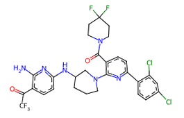 Nc1nc(NC2CCCN(c3nc(-c4ccc(Cl)cc4Cl)ccc3C(=O)N3CCC(F)(F)CC3)C2)ccc1C(=O)C(F)(F)F